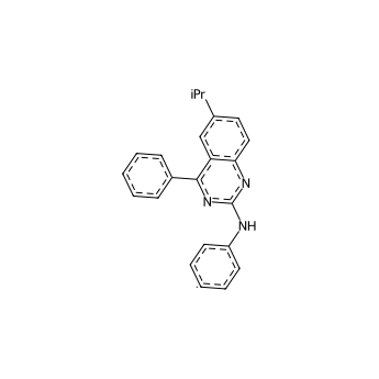 CC(C)c1ccc2nc(Nc3cc[c]cc3)nc(-c3ccccc3)c2c1